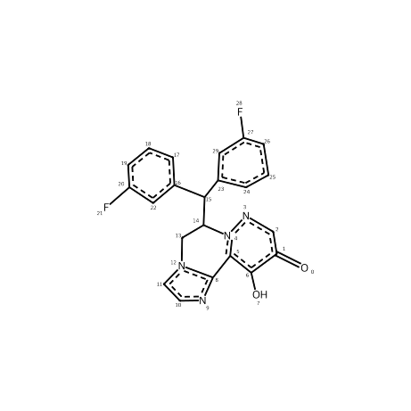 O=c1cnn2c(c1O)-c1nccn1CC2C(c1cccc(F)c1)c1cccc(F)c1